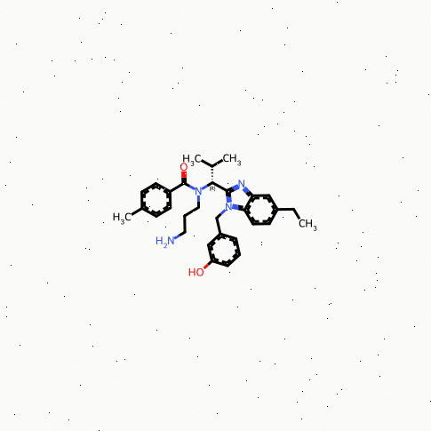 CCc1ccc2c(c1)nc([C@@H](C(C)C)N(CCCN)C(=O)c1ccc(C)cc1)n2Cc1cccc(O)c1